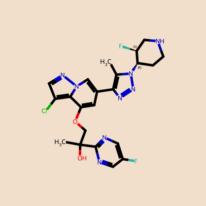 Cc1c(-c2cc(OCC(C)(O)c3ncc(F)cn3)c3c(Cl)cnn3c2)nnn1[C@@H]1CCNC[C@@H]1F